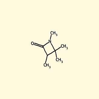 CC1C(=O)N(C)C1(C)C